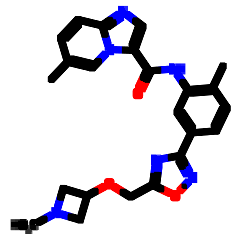 Cc1ccc2ncc(C(=O)Nc3cc(-c4noc(COC5CN(C(=O)O)C5)n4)ccc3C)n2c1